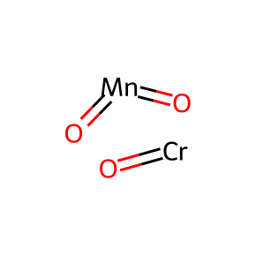 [O]=[Cr].[O]=[Mn]=[O]